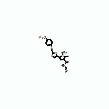 CCCCn1c(-c2csc(COc3ccc(OC)cc3)n2)cc(C(=O)NCC(C)C)c1C